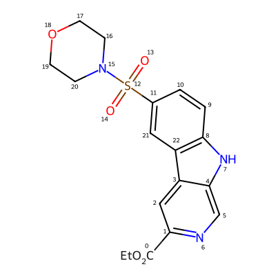 CCOC(=O)c1cc2c(cn1)[nH]c1ccc(S(=O)(=O)N3CCOCC3)cc12